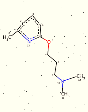 Cc1cccc(OCCCN(C)C)n1